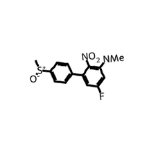 CNc1cc(F)cc(-c2ccc([S+](C)[O-])cc2)c1[N+](=O)[O-]